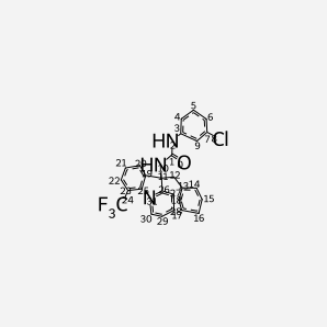 O=C(Nc1cccc(Cl)c1)NC(Cc1ccccc1)(c1cccc(C(F)(F)F)c1)c1ccccn1